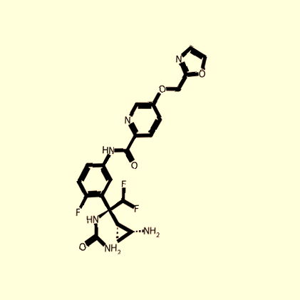 NC(=O)N[C@@](c1cc(NC(=O)c2ccc(OCc3ncco3)cn2)ccc1F)(C(F)F)[C@H]1C[C@H]1N